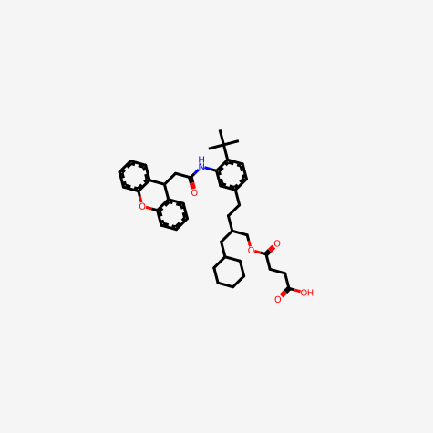 CC(C)(C)c1ccc(CCC(COC(=O)CCC(=O)O)CC2CCCCC2)cc1NC(=O)CC1c2ccccc2Oc2ccccc21